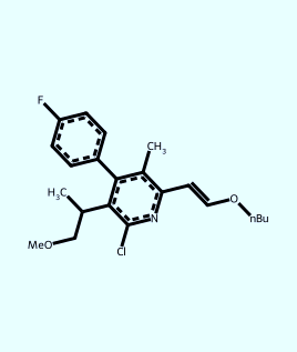 CCCCO/C=C/c1nc(Cl)c(C(C)COC)c(-c2ccc(F)cc2)c1C